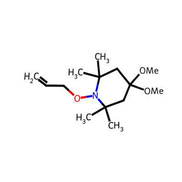 C=CCON1C(C)(C)CC(OC)(OC)CC1(C)C